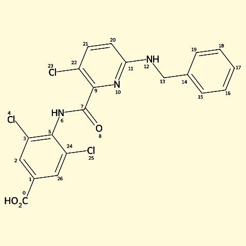 O=C(O)c1cc(Cl)c(NC(=O)c2nc(NCc3ccccc3)ccc2Cl)c(Cl)c1